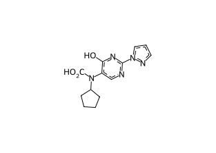 O=C(O)N(c1cnc(-n2cccn2)nc1O)C1CCCC1